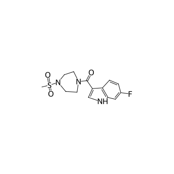 CS(=O)(=O)N1CCN(C(=O)c2c[nH]c3cc(F)ccc23)CC1